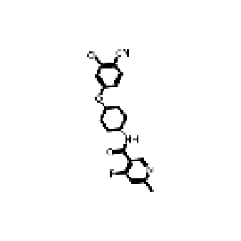 Cc1cc(F)c(C(=O)N[C@H]2CC[C@H](Oc3ccc(C#N)c(Cl)c3)CC2)cn1